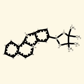 CC1(C)OB(c2ccc3nc4c5ccccc5ccn4c3c2)OC1(C)C